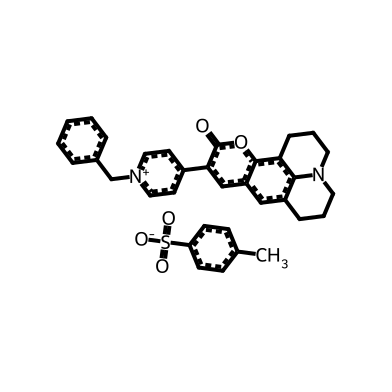 Cc1ccc(S(=O)(=O)[O-])cc1.O=c1oc2c3c4c(cc2cc1-c1cc[n+](Cc2ccccc2)cc1)CCCN4CCC3